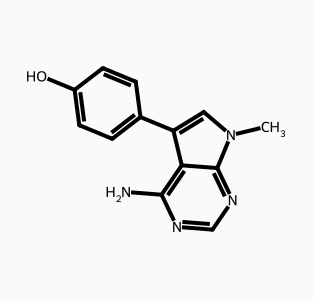 Cn1cc(-c2ccc(O)cc2)c2c(N)ncnc21